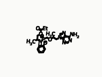 CCC(=O)OCC(C)NP(=O)(COC(C)Cn1cnc2c(N)ncnc21)Oc1ccccc1